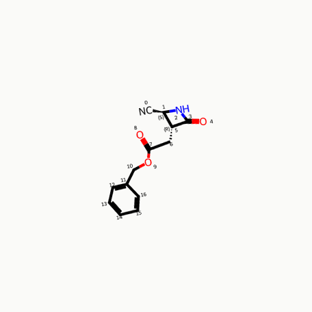 N#C[C@H]1NC(=O)[C@@H]1CC(=O)OCc1ccccc1